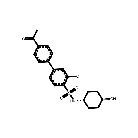 CC(=O)c1ccc(-c2ccc(S(=O)(=O)N[C@H]3CC[C@H](O)CC3)c(Cl)c2)cc1